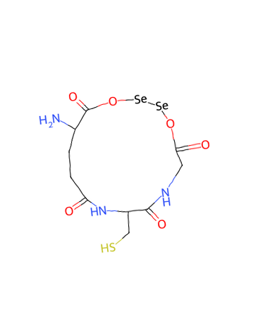 NC1CCC(=O)NC(CS)C(=O)NCC(=O)O[Se][Se]OC1=O